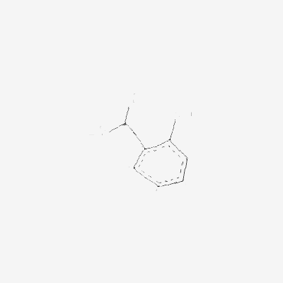 CCCCc1ccccc1C(C)[O]